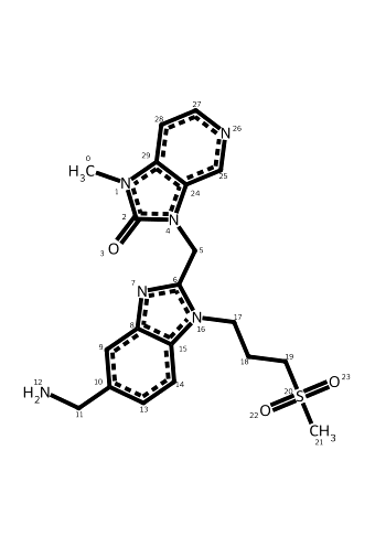 Cn1c(=O)n(Cc2nc3cc(CN)ccc3n2CCCS(C)(=O)=O)c2cnccc21